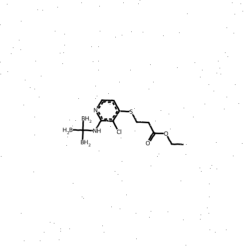 BC(B)(B)Nc1nccc(SCCC(=O)OCC)c1Cl